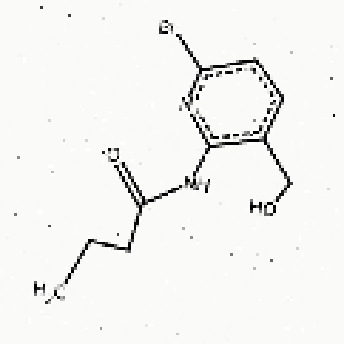 CCCC(=O)Nc1nc(Br)ccc1CO